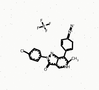 Cc1[nH]cc2c(=O)n(-c3ccc(Cl)cc3)nc-2c1C1=CCC(=[N+]=[N-])C=C1.F[B-](F)(F)F